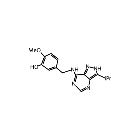 COc1ccc(CNc2ncnc3c(C(C)C)[nH]nc23)cc1O